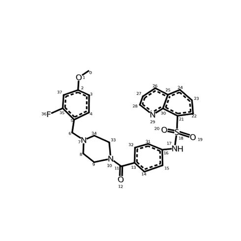 COc1ccc(CN2CCN(C(=O)c3ccc(NS(=O)(=O)c4cccc5cccnc45)cc3)CC2)c(F)c1